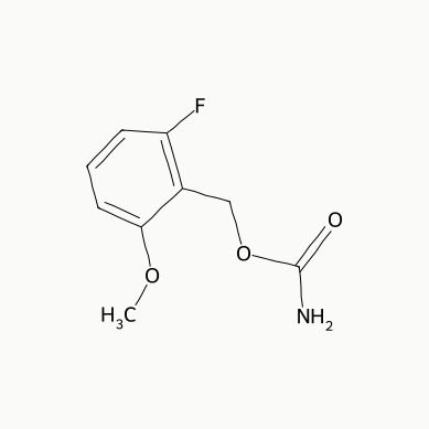 COc1cccc(F)c1COC(N)=O